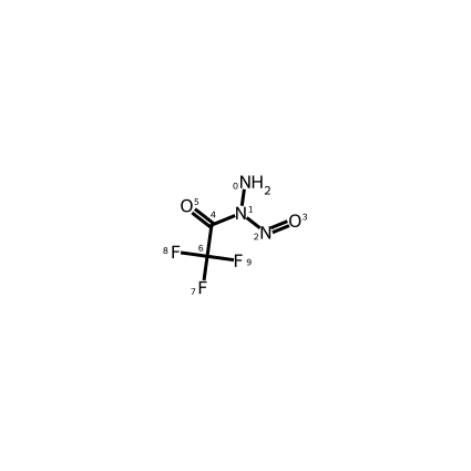 NN(N=O)C(=O)C(F)(F)F